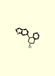 CCN1Cc2ccccc2C(c2ccc3ccsc3c2)C1